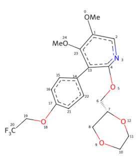 COc1cnc(OC[C@H]2COCCO2)c(-c2ccc(OCC(F)(F)F)cc2)c1OC